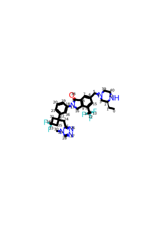 CC[C@H]1CN(Cc2cc3c(c(C(F)(F)F)c2)CN(c2cccc(C4(Cc5nncn5C)CC(F)(F)C4)c2)C3=O)CCN1